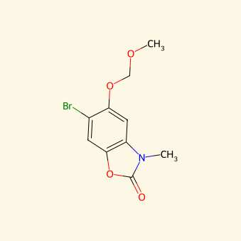 COCOc1cc2c(cc1Br)oc(=O)n2C